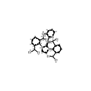 CCC(CC)c1cccc(C(CC)CC)c1-n1ccn(-c2c(C(CC)CC)cccc2C(CC)CC)[c]1=[Pd][c]1ncccc1Cl